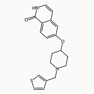 O=c1[nH]ccc2cc(OC3CCN(Cc4ccsc4)CC3)ccc12